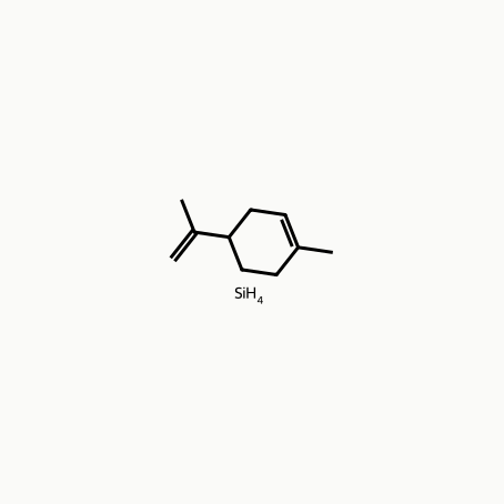 C=C(C)C1CC=C(C)CC1.[SiH4]